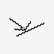 CCCCCCCCCCCCC(CCCCCC)C(CCCCCC)(CCCCCC)OC(=O)CCCCCCCCC